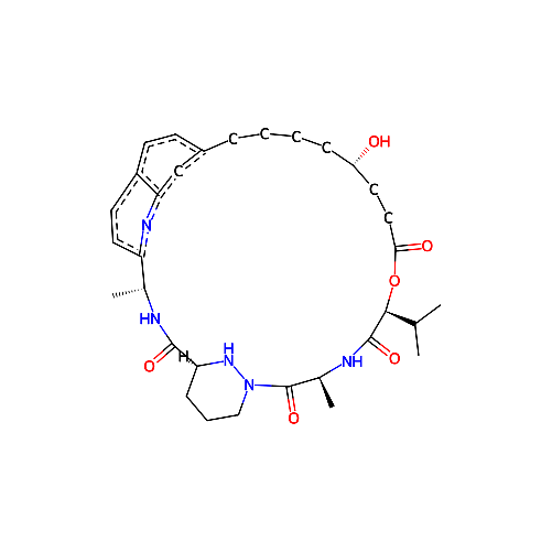 CC(C)[C@@H]1OC(=O)CC[C@@H](O)CCCCc2ccc3ccc(nc3c2)[C@@H](C)NC(=O)[C@@H]2CCCN(N2)C(=O)[C@H](C)NC1=O